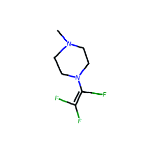 CN1CCN(C(F)=C(F)F)CC1